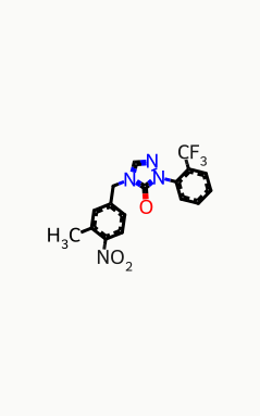 Cc1cc(Cn2cnn(-c3ccccc3C(F)(F)F)c2=O)ccc1[N+](=O)[O-]